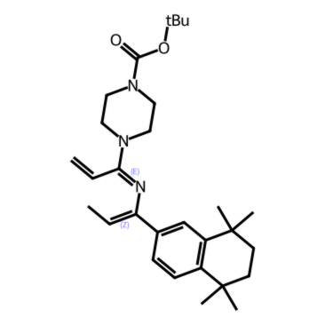 C=C/C(=N\C(=C/C)c1ccc2c(c1)C(C)(C)CCC2(C)C)N1CCN(C(=O)OC(C)(C)C)CC1